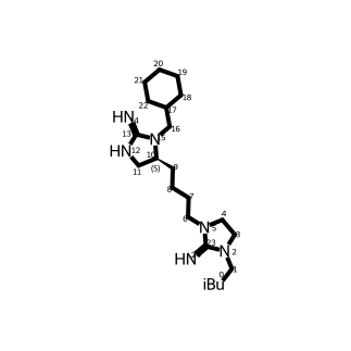 CCC(C)CN1CCN(CCCC[C@H]2CNC(=N)N2CC2CCCCC2)C1=N